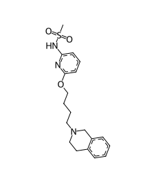 CS(=O)(=O)Nc1cccc(OCCCCN2CCc3ccccc3C2)n1